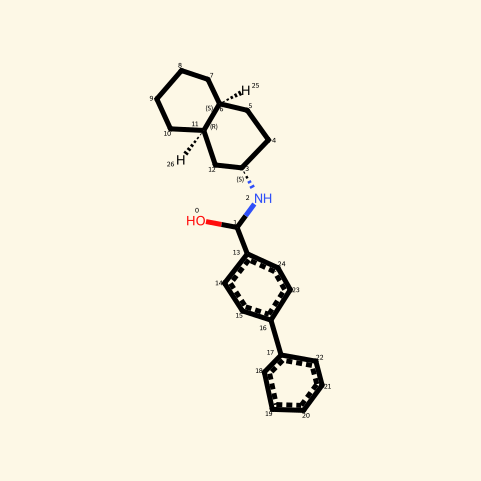 OC(N[C@H]1CC[C@@H]2CCCC[C@@H]2C1)c1ccc(-c2ccccc2)cc1